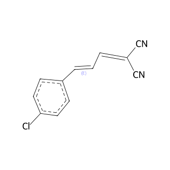 N#CC(C#N)=C/C=C/c1ccc(Cl)cc1